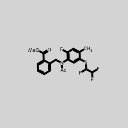 COC(=O)c1ccccc1CN(C(C)=O)c1cc(SC(F)C(F)F)c(C)cc1F